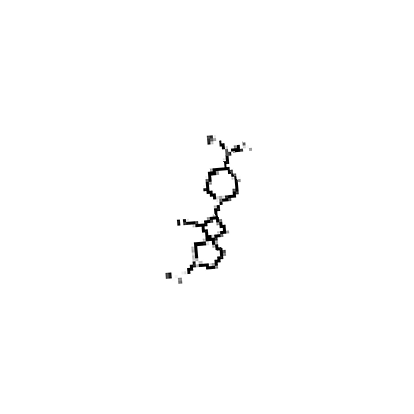 CCC1C(N2CCC(N(C(C)=O)C(C)C)CC2)CC12CCN(C(=O)O)C2